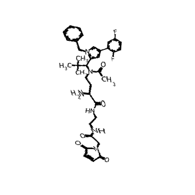 CC(=O)N(CCC(N)C(=O)NCCNC(=O)CN1C(=O)C=CC1=O)C(c1cc(-c2cc(F)ccc2F)cn1Cc1ccccc1)C(C)(C)C